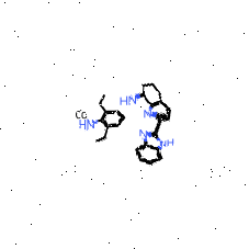 CCc1cccc(CC)c1[NH][Co].N=C1CCCc2ccc(-c3nc4ccccc4[nH]3)nc21